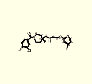 O=C(c1ccc(F)c(Cl)c1)N1CCC(F)(CNCCOc2cc(F)ccn2)CC1